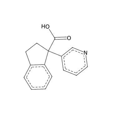 O=C(O)C1(c2cccnc2)CCc2ccccc21